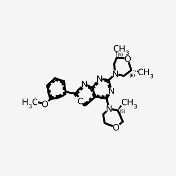 COc1cccc(-c2ccc3c(N4CCOC[C@@H]4C)nc(N4C[C@@H](C)O[C@@H](C)C4)nc3n2)c1